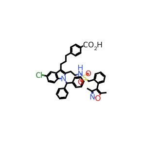 Cc1noc(C)c1-c1ccccc1CS(=O)(=O)NCCc1c(CCCc2ccc(C(=O)O)cc2)c2cc(Cl)ccc2n1C(c1ccccc1)c1ccccc1